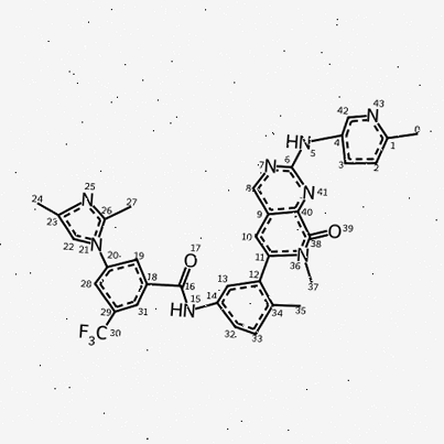 Cc1ccc(Nc2ncc3cc(-c4cc(NC(=O)c5cc(-n6cc(C)nc6C)cc(C(F)(F)F)c5)ccc4C)n(C)c(=O)c3n2)cn1